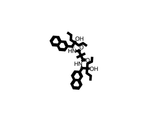 CCCC(O)(CCC)[C@H](NC(=O)C(C)(C)C(=O)N[C@H](c1ccc2ccccc2c1)C(O)(CCC)CCC)c1ccc2ccccc2c1